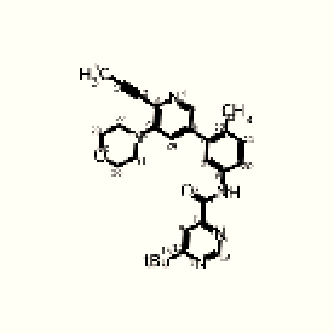 CC#Cc1ncc(-c2cc(NC(=O)c3cc(C(C)(C)C)ncn3)ccc2C)cc1N1CCOCC1